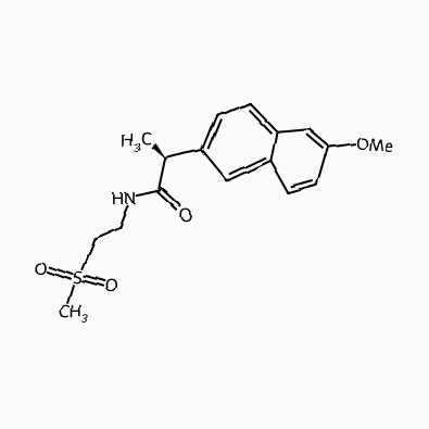 COc1ccc2cc([C@H](C)C(=O)NCCS(C)(=O)=O)ccc2c1